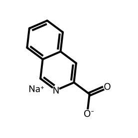 O=C([O-])c1cc2ccccc2cn1.[Na+]